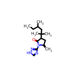 C=C1CC(C(C)(C)CC(C)CC)C(=O)N1c1nc[nH]n1